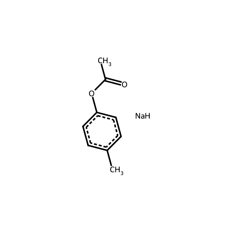 CC(=O)Oc1ccc(C)cc1.[NaH]